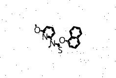 COc1cccc(N(C)C(=S)Oc2cccc3ccccc23)n1